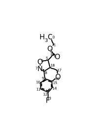 CCOC(=O)C1ON=C2c3ccc(F)cc3OCC21